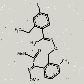 CNC(=O)/C(=N/OC)c1cccc(C)c1CO/N=C(\C)c1ccc(F)cc1CC(F)(F)F